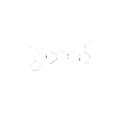 NS(=O)(=O)c1cc(NC(=O)Cc2ccccc2C(F)F)ccc1-n1cc(F)cn1